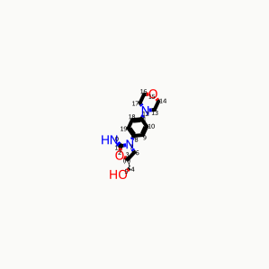 N=C1O[C@@H](CO)CN1c1ccc(N2CCOCC2)cc1